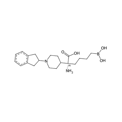 N[C@@](CCCCB(O)O)(C(=O)O)C1CCN(C2Cc3ccccc3C2)CC1